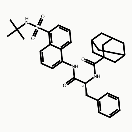 CC(C)(C)NS(=O)(=O)c1cccc2c(NC(=O)[C@H](Cc3ccccc3)NC(=O)C34CC5CC(CC(C5)C3)C4)cccc12